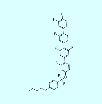 CCCCCc1ccc(C(F)(F)Oc2ccc(-c3cc(F)c(-c4ccc(-c5ccc(F)c(F)c5)c(F)c4)c(F)c3)c(F)c2)cc1